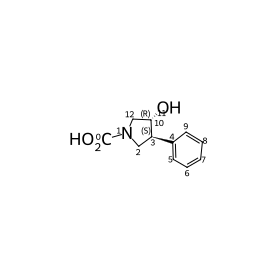 O=C(O)N1C[C@H](c2ccccc2)[C@@H](O)C1